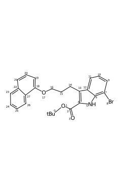 CC(C)(C)OC(=O)c1[nH]c2c(Br)cccc2c1CCCOc1cccc2ccccc12